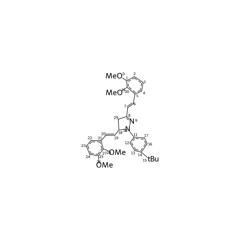 COc1cccc(C=CC2=NN(c3ccc(C(C)(C)C)cc3)C(C=Cc3cccc(OC)c3OC)C2)c1OC